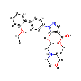 CCOC(=O)c1cnn(-c2ccc(-c3ccccc3OCC)cc2)c1OCCN1CCOCC1